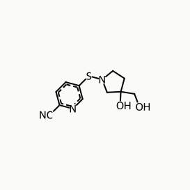 N#Cc1ccc(SN2CCC(O)(CO)C2)cn1